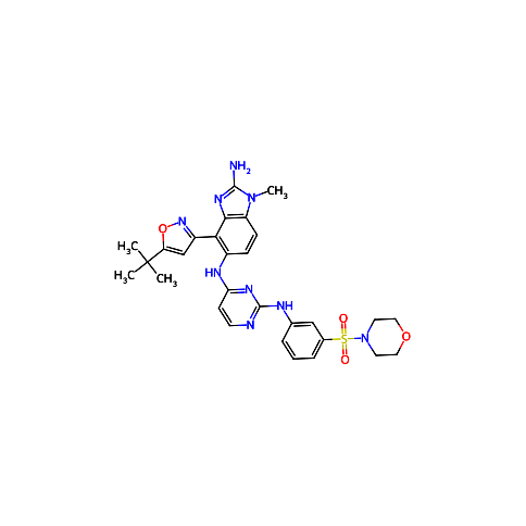 Cn1c(N)nc2c(-c3cc(C(C)(C)C)on3)c(Nc3ccnc(Nc4cccc(S(=O)(=O)N5CCOCC5)c4)n3)ccc21